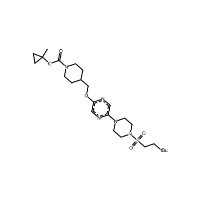 CC(C)(C)CCS(=O)(=O)N1CCN(c2cnc(OCC3CCN(C(=O)OC4(C)CC4)CC3)cn2)CC1